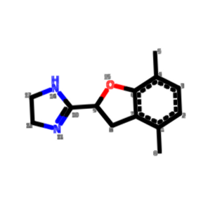 Cc1ccc(C)c2c1CC(C1=NCCN1)O2